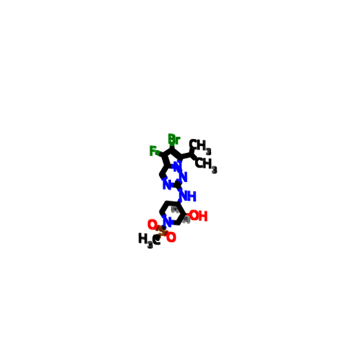 CC(C)c1c(Br)c(F)c2cnc(N[C@@H]3CCN(S(C)(=O)=O)C[C@H]3O)nn12